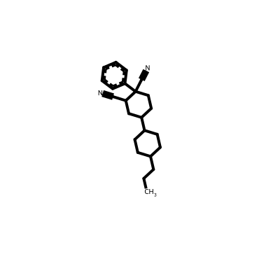 CCCC1CCC(C2CCC(C#N)(c3ccccc3)C(C#N)C2)CC1